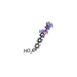 CC(C)(C)c1cc(C(=O)Nc2ccc(-c3ccc(C4CCC(CC(=O)O)CC4)cc3)nc2)n[nH]1